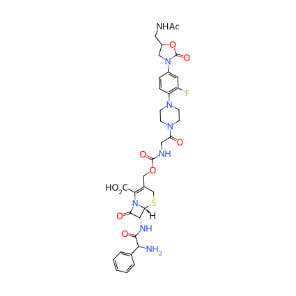 CC(=O)NCC1CN(c2ccc(N3CCN(C(=O)CNC(=O)OCC4=C(C(=O)O)N5C(=O)[C@@H](NC(=O)C(N)c6ccccc6)[C@H]5SC4)CC3)c(F)c2)C(=O)O1